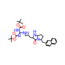 CC(C)(C)OC(=O)N=C(NCCCC1NC2CCC(Cc3ccc4ccccc4c3)N2C1=O)NC(=O)OC(C)(C)C